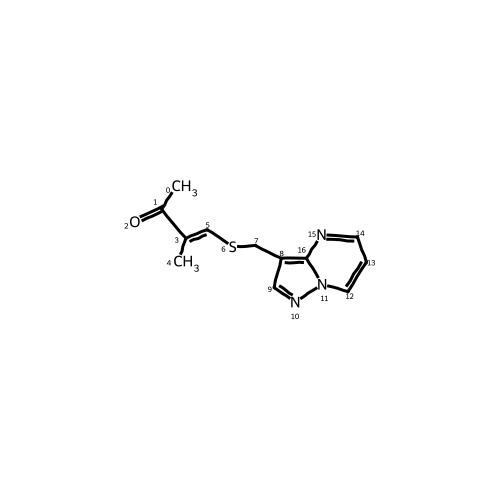 CC(=O)/C(C)=C/SCc1cnn2cccnc12